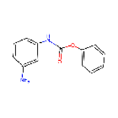 Nc1cccc(NC(=O)Oc2ccccc2)c1